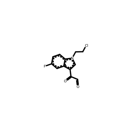 O=CC(=O)c1cn(CCCl)c2ccc(F)cc12